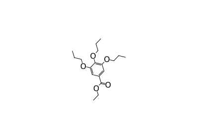 CCCOc1cc(C(=O)OCC)cc(OCCC)c1OCCC